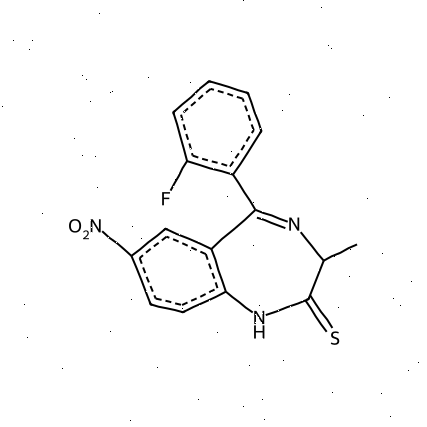 CC1N=C(c2ccccc2F)c2cc([N+](=O)[O-])ccc2NC1=S